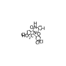 O=C(O)C(c1ccc(Cl)c(Cl)c1)N1C(=O)c2cc(I)ccc2NC(=O)C1c1ccc(Cl)cc1